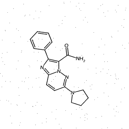 NC(=O)c1c(-c2ccccc2)nc2ccc(N3CCCC3)nn12